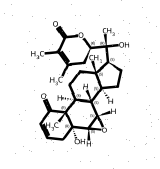 CC1=C(C)C(=O)O[C@@H]([C@](C)(O)[C@H]2CC[C@H]3[C@@H]4[C@@H]5O[C@@H]5[C@@]5(O)CC=CC(=O)[C@]5(C)[C@H]4CC[C@]23C)C1